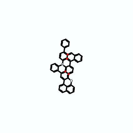 c1ccc(-c2ccc(N(c3ccccc3-c3ccc4c(c3)-c3cccc5cccc(c35)O4)c3ccccc3-c3cccc4ccccc34)cc2)cc1